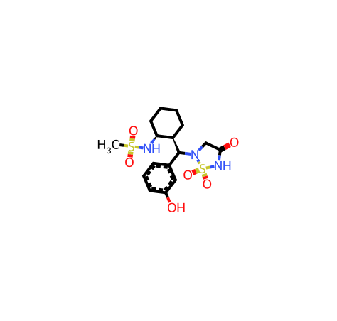 CS(=O)(=O)N[C@H]1CCCC[C@H]1C(c1cccc(O)c1)N1CC(=O)NS1(=O)=O